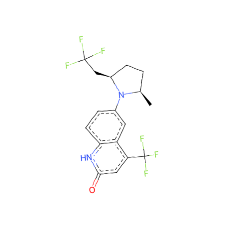 C[C@@H]1CC[C@H](CC(F)(F)F)N1c1ccc2[nH]c(=O)cc(C(F)(F)F)c2c1